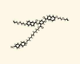 C=CCOCCCOc1ccc2cc(C(=O)Oc3ccc(OC(=O)c4ccc5cc(OCCCOCC=C)ccc5c4)c(C(=O)OCCCCCCCCCCOc4ccc(-c5ccc(C#N)cc5)cc4)c3)ccc2c1